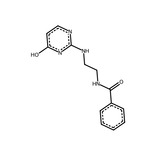 O=C(NCCNc1nccc(O)n1)c1ccccc1